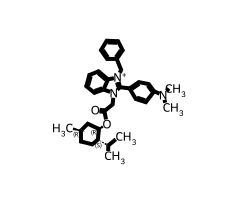 CC(C)[C@@H]1CC[C@@H](C)C[C@H]1OC(=O)Cn1c(-c2ccc(N(C)C)cc2)[n+](Cc2ccccc2)c2ccccc21